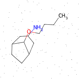 CCCCOC1C2CCC1CC(N)C2